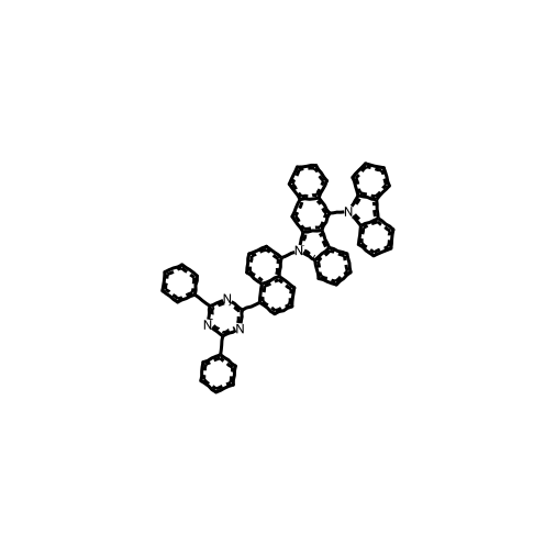 c1ccc(-c2nc(-c3ccccc3)nc(-c3cccc4c(-n5c6ccccc6c6c(-n7c8ccccc8c8ccccc87)c7ccccc7cc65)cccc34)n2)cc1